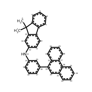 CC1(C)c2ccccc2-c2ccc(Nc3cccc(-c4cc5ccccc5c5ccccc45)c3)cc21